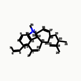 C=C(C)c1c(/C=C\C)ccc2c1c1c(n2C)C=CC(CC(C)C(=C)C)CC1C